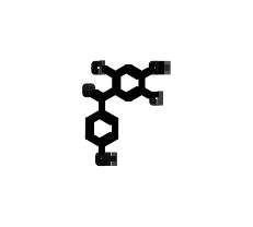 O=C(c1ccc(O)cc1)c1cc(Cl)c(O)cc1Cl